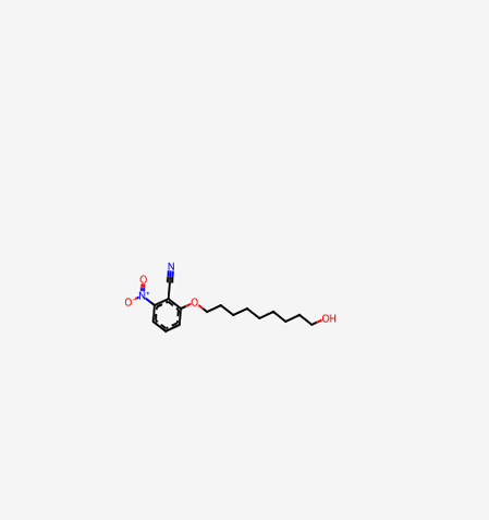 N#Cc1c(OCCCCCCCCCO)cccc1[N+](=O)[O-]